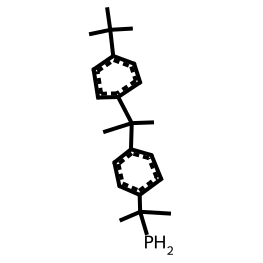 CC(C)(C)c1ccc(C(C)(C)c2ccc(C(C)(C)P)cc2)cc1